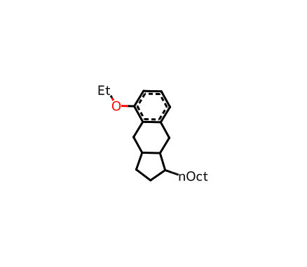 CCCCCCCCC1CCC2Cc3c(cccc3OCC)CC12